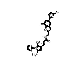 CC(=O)c1ccc(-c2cc(Cl)c3c(c2)CC(CNC(=O)C=Cc2cc(C)n(-c4nccs4)c2C)O3)s1